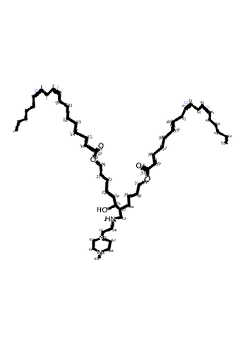 CCCCC/C=C\C/C=C\CCCCCCCC(=O)OCCCCCC(O)C(CCCCOC(=O)CCCCCCC/C=C\C/C=C\CCCCC)CNCCN1CCN(C)CC1